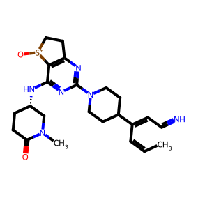 C/C=C\C(=C/C=N)C1CCN(c2nc3c(c(N[C@H]4CCC(=O)N(C)C4)n2)[S+]([O-])CC3)CC1